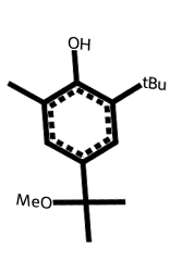 COC(C)(C)c1cc(C)c(O)c(C(C)(C)C)c1